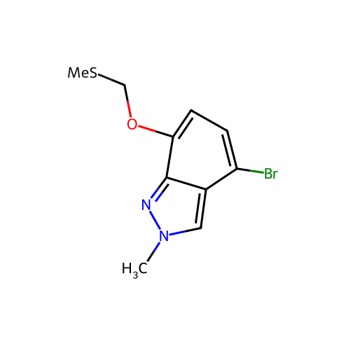 CSCOc1ccc(Br)c2cn(C)nc12